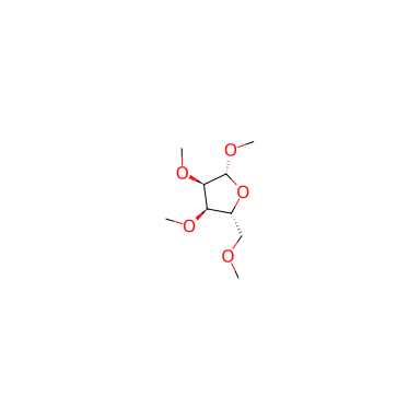 COC[C@H]1O[C@@H](OC)[C@H](OC)[C@@H]1OC